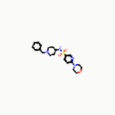 O=S(=O)(NC1CCN(Cc2ccccc2)CC1)c1ccc(N2CCOCC2)nc1